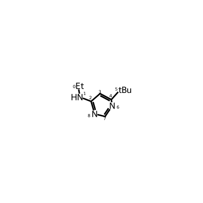 CCNc1cc(C(C)(C)C)ncn1